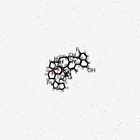 C#Cc1c(F)ccc2cc(O)cc(-c3nc4c5c(nc(OC[C@@]67CCCN6C[C@H](F)C7)nc5c3F)N3C[C@H]5CC[C@@H]([C@H]3CC[C@H]4C)N5Cc3oc(=O)oc3C3CCCCC3)c12